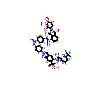 CN(C[C@H]1CC[C@H](n2cc3cc(NC(=O)c4cccc(C(C)(C)F)n4)c(C(C)(C)O)cc3n2)CC1)[C@H]1CC[C@H](CNc2cccc3c2C(=O)N(C2CCC(=O)NC2=O)C3=O)CC1